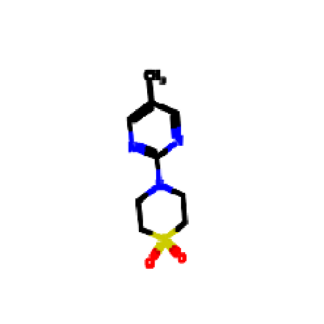 Cc1cnc(N2CCS(=O)(=O)CC2)nc1